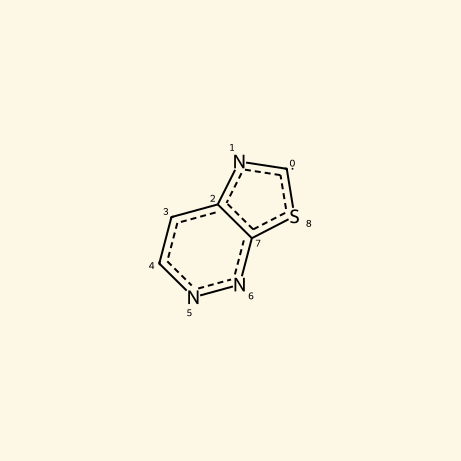 [c]1nc2ccnnc2s1